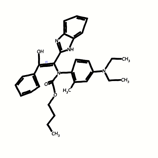 CCCCOC(=O)N(/C(=C(/O)c1ccccc1)c1nc2ccccc2[nH]1)c1ccc(N(CC)CC)cc1C